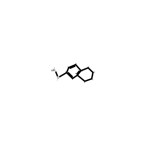 CC[CH]Oc1ccc2c(c1)CCCC2